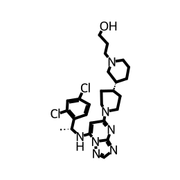 C[C@@H](Nc1cc(N2CCC([C@H]3CCCN(CCCO)C3)CC2)nc2ncnn12)c1ccc(Cl)cc1Cl